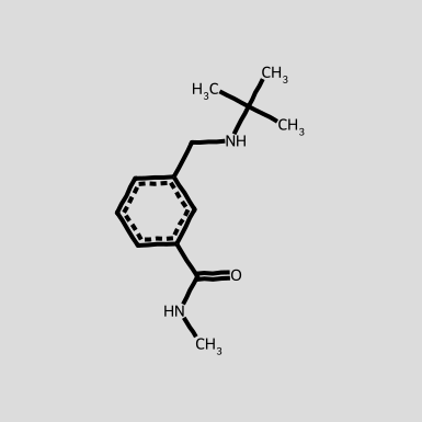 CNC(=O)c1cccc(CNC(C)(C)C)c1